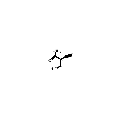 [C]#CC(CC)C(N)=O